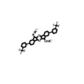 [C-]#[N+]/N=c1/c2cc(-c3cccc(C(F)(F)F)c3)ccc2c2nc3/c(=N/[N+]#[C-])c4cc(-c5cccc(C(F)(F)F)c5)ccc4c3nc12